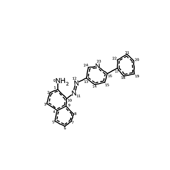 Nc1ccc2ccccc2c1/N=N/c1ccc(-c2ccccc2)nc1